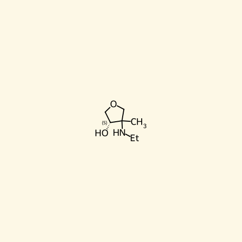 CCNC1(C)COC[C@H]1O